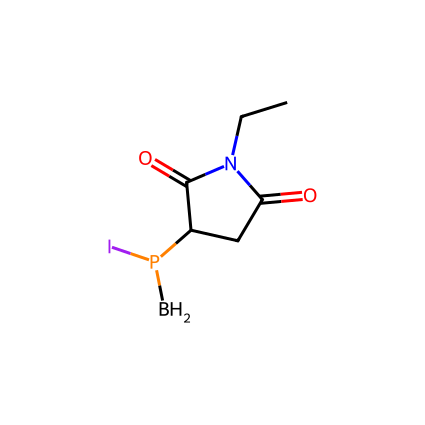 BP(I)C1CC(=O)N(CC)C1=O